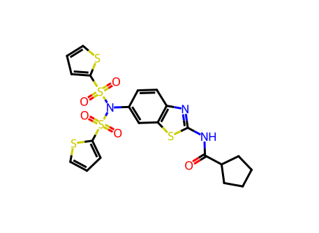 O=C(Nc1nc2ccc(N(S(=O)(=O)c3cccs3)S(=O)(=O)c3cccs3)cc2s1)C1CCCC1